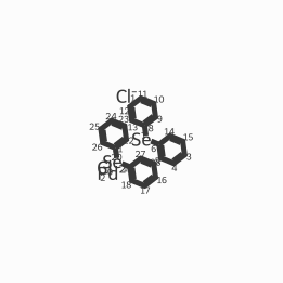 [Cl-].[Cl-].[Pd+2].c1ccc([Se]c2ccccc2)cc1.c1ccc([Se]c2ccccc2)cc1